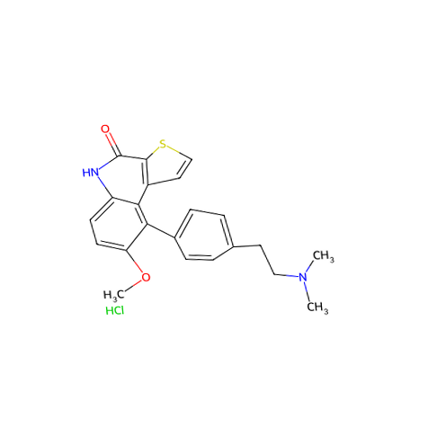 COc1ccc2[nH]c(=O)c3sccc3c2c1-c1ccc(CCN(C)C)cc1.Cl